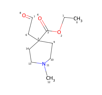 CCOC(=O)C1(CC=O)CCN(C)CC1